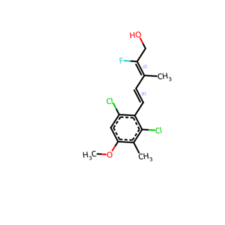 COc1cc(Cl)c(/C=C/C(C)=C(\F)CO)c(Cl)c1C